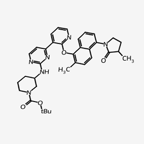 Cc1ccc2c(N3CCC(C)C3=O)cccc2c1Oc1ncccc1-c1ccnc(NC2CCCN(C(=O)OC(C)(C)C)C2)n1